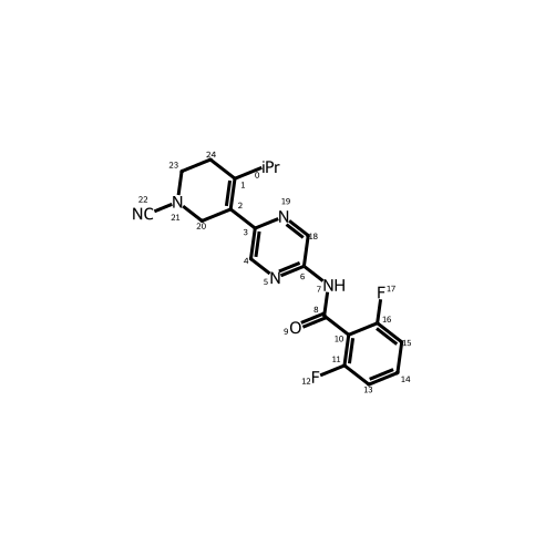 CC(C)C1=C(c2cnc(NC(=O)c3c(F)cccc3F)cn2)CN(C#N)CC1